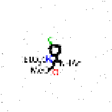 CCOC(=O)n1c(C(=O)OC)c(NC(C)=O)c2ccc(Cl)cc21